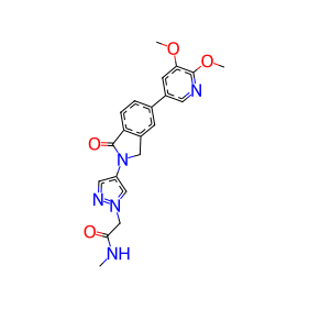 CNC(=O)Cn1cc(N2Cc3cc(-c4cnc(OC)c(OC)c4)ccc3C2=O)cn1